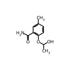 Cc1ccc(OC(C)O)c(C(N)=O)c1